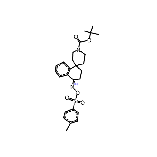 Cc1ccc(S(=O)(=O)O/N=C2\CCC3(CCN(C(=O)OC(C)(C)C)CC3)c3ccccc32)cc1